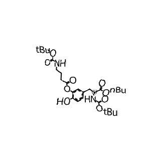 CCCCOC(=O)[C@H](Cc1ccc(O)c(OC(=O)CCCNC(=O)OC(C)(C)C)c1)NC(=O)OC(C)(C)C